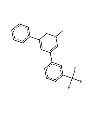 CN1C=C(c2cccc(C(F)(F)F)c2)C=C(c2ccccc2)C1